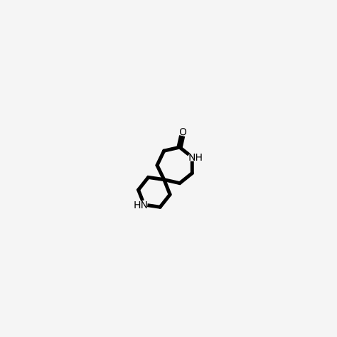 O=C1CCC2(CCNCC2)CCN1